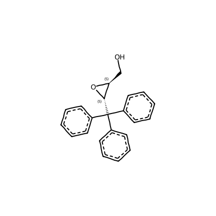 OC[C@@H]1O[C@H]1C(c1ccccc1)(c1ccccc1)c1ccccc1